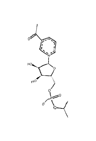 CC(=O)c1ccc[n+](C2O[C@H](COP(=O)([O-])OC(C)C)[C@@H](O)[C@H]2O)c1